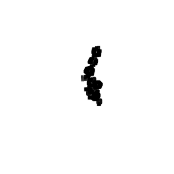 COc1cc(C)c(S(=O)(=O)N(C)C(CC(=O)Nc2ccc(N3CCN(c4ccncc4)CC3)cc2)c2ccccc2)c(C)c1